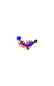 Cn1nnnc1SCC1=C(C(=O)O)N2C(=O)[C@@H](NC(=O)C(NC(=O)N3CCN(N=Cc4ccccc4)C(=O)C3=O)c3cccs3)C2SC1